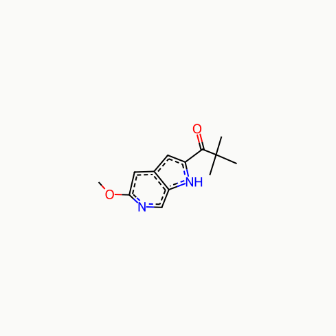 COc1cc2cc(C(=O)C(C)(C)C)[nH]c2cn1